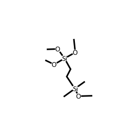 CO[Si](C)(C)CC[Si](OC)(OC)OC